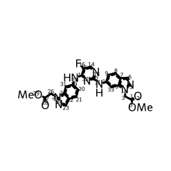 COC(=O)Cn1ncc2ccc(Nc3ncc(F)c(Nc4ccc5cnn(CC(=O)OC)c5c4)n3)cc21